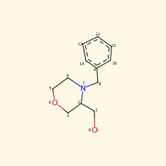 [O]CC1COCCN1Cc1ccccc1